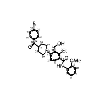 CCc1c(C(=O)Nc2ccccc2OC)ccc(N2CCC(C(=O)c3ccc(F)cc3)CC2)c1CO